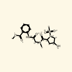 COC(=O)c1ccccc1NC(=O)CN(C)C(=O)C1CC(S)CN1S(C)(=O)=O